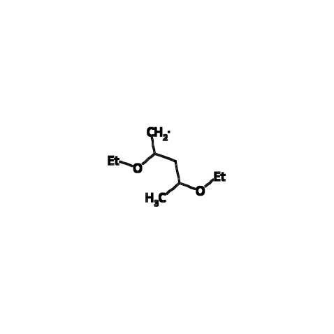 [CH2]C(CC(C)OCC)OCC